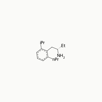 CCCc1cccc(C(C)C)c1C[C@@H](N)CC